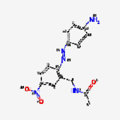 CC(=O)NCc1cc([N+](=O)[O-])ccc1N=Nc1ccc(N)cc1